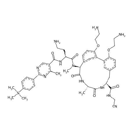 Cc1nc(-c2ccc([Si](C)(C)C)cc2)ncc1C(=O)N[C@@H](CCN)C(=O)N(C)[C@@H]1C(=O)N[C@@H](C)C(=O)N[C@H](C(=O)NCC#N)Cc2ccc(OCCN)c(c2)-c2cc1ccc2OCCN